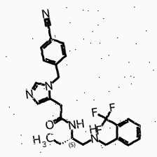 CC[C@@H](CNCc1ccccc1C(F)(F)F)NC(=O)Cc1cncn1Cc1ccc(C#N)cc1